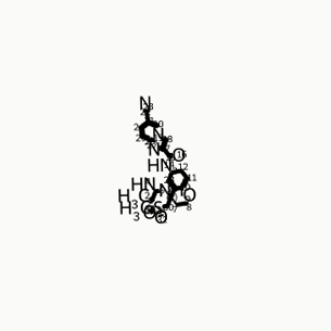 CC1(C)C(=N)N[C@@]2(CCOC3=CCC(NC(=O)c4cn5cc(C#N)ccc5n4)C=C32)CS1(=O)=O